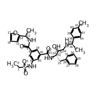 CCS(=O)(=O)Nc1cc(C(=O)NC(C)c2ccco2)cc(C(=O)N[C@@H](Cc2ccccc2)[C@H](O)CN[C@H](C)c2ccc(C)cc2)c1